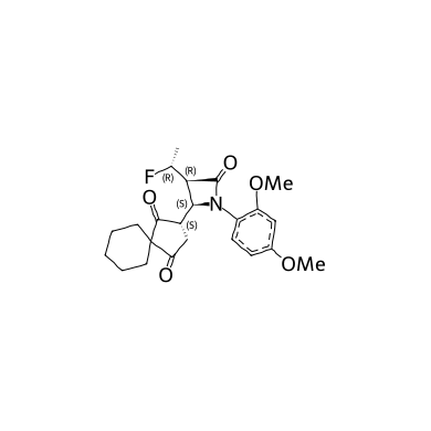 COc1ccc(N2C(=O)[C@H]([C@@H](C)F)[C@@H]2[C@@H]2CC(=O)C3(CCCCC3)C2=O)c(OC)c1